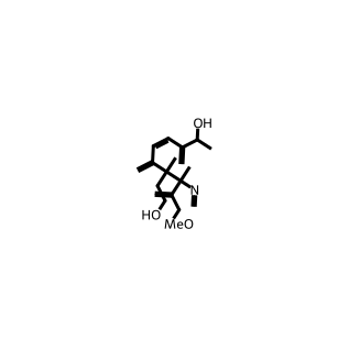 C=NC(C)(C(=C)COC)C(C)(CCO)C(=C)/C=C\C(=C)C(C)O